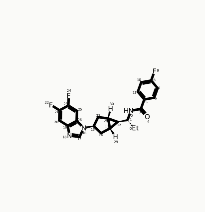 CC[C@@H](NC(=O)c1ccc(F)cc1)[C@H]1[C@@H]2C[C@@H](n3cnc4cc(F)c(F)cc43)C[C@@H]21